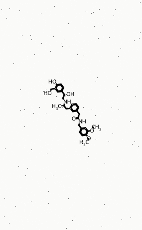 COc1ccc(CNC(=O)Cc2cccc(C[C@@H](C)NC[C@@H](O)c3ccc(O)c(CO)c3)c2)cc1OC